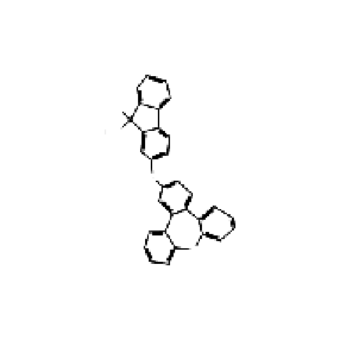 CC1(C)c2ccccc2-c2ccc(Nc3ccc4c(c3)-c3ccccc3Oc3ccccc3-4)cc21